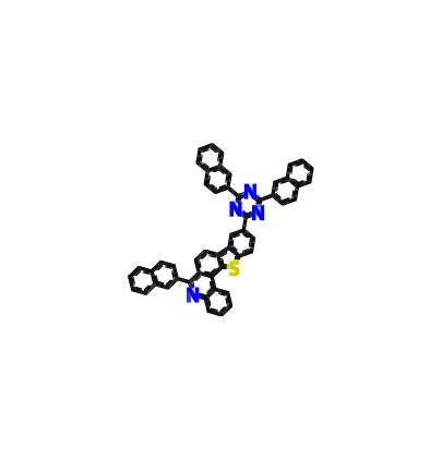 c1ccc2cc(-c3nc(-c4ccc5ccccc5c4)nc(-c4ccc5sc6c(ccc7c(-c8ccc9ccccc9c8)nc8ccccc8c76)c5c4)n3)ccc2c1